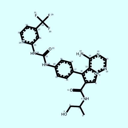 CC(CO)NC(=O)c1cn2ncnc(N)c2c1-c1ccc(NC(=O)Nc2cc(C(F)(F)F)ccn2)cc1